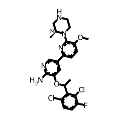 COc1ccc(-c2cnc(N)c(OC(C)c3c(Cl)ccc(F)c3Cl)c2)nc1N1CCNC[C@@H]1C